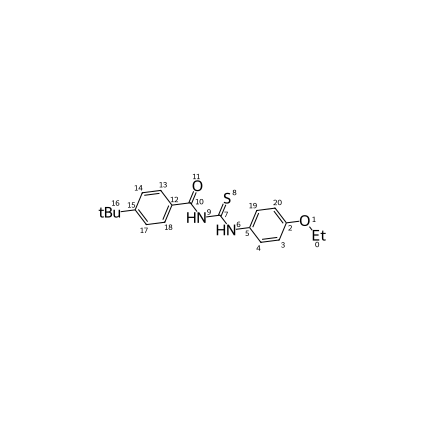 CCOc1ccc(NC(=S)NC(=O)c2ccc(C(C)(C)C)cc2)cc1